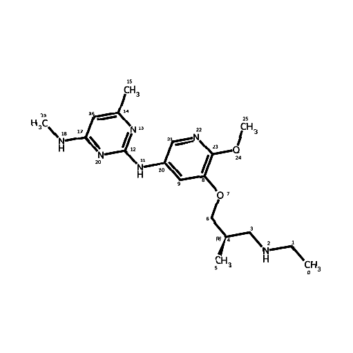 CCNC[C@@H](C)COc1cc(Nc2nc(C)cc(NC)n2)cnc1OC